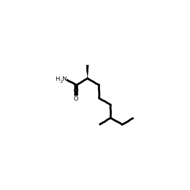 CCC(C)CCC[C@H](C)C(N)=O